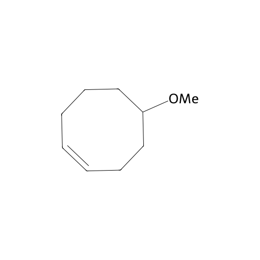 COC1CCC=CCCC1